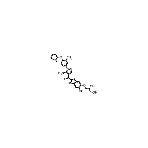 Cc1cc(-n2ncc(C(=O)c3cc4cc(OCC(O)CO)c(Br)cc4[nH]3)c2N)ccc1Oc1ccccc1F